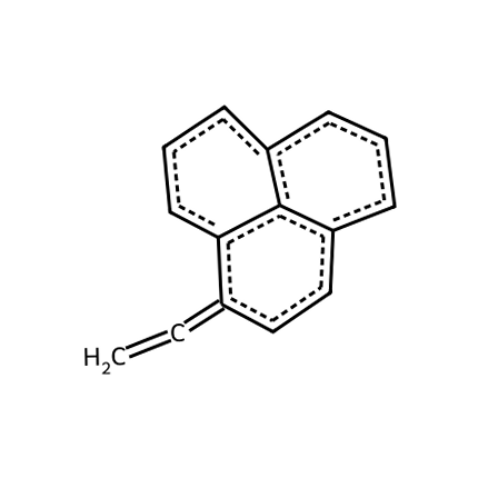 C=C=c1ccc2cccc3cccc1c32